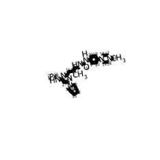 C/C(=C\CNC(=O)Nc1ccc(N2CCN(C)CC2)cc1)Cc1nc(NC(C)C)cc(N2CC3CCC(C2)O3)n1